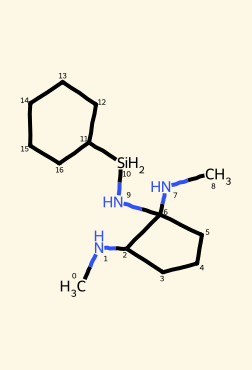 CNC1CCCC1(NC)N[SiH2]C1CCCCC1